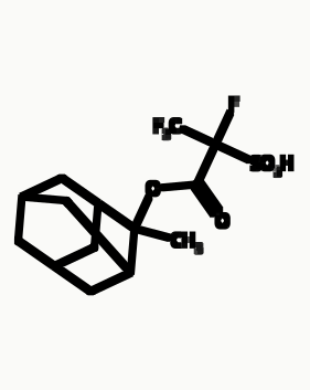 CC1(OC(=O)C(F)(C(F)(F)F)S(=O)(=O)O)C2CC3CC(C2)CC1C3